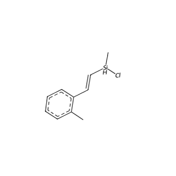 Cc1ccccc1C=C[SiH](C)Cl